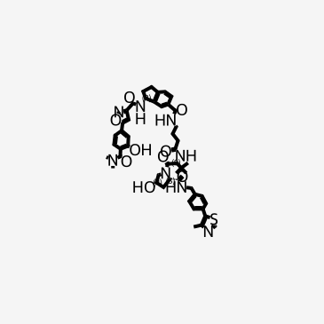 Cc1ncsc1-c1ccc(CNC(=O)[C@@H]2C[C@@H](O)CN2C(=O)[C@@H](NC(=O)CCCNC(=O)c2ccc3c(c2)[C@H](NC(=O)c2cc(-c4ccc(C(=O)N(C)C)c(O)c4)on2)CC3)C(C)(C)C)cc1